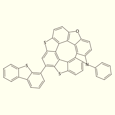 c1ccc(-n2c3ccc4oc5ccc6sc7cc(-c8cccc9c8sc8ccccc89)c8sc9ccc2c2c9c8c7c6c5c4c23)cc1